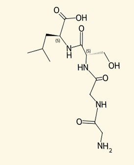 CC(C)C[C@H](NC(=O)[C@H](CO)NC(=O)CNC(=O)CN)C(=O)O